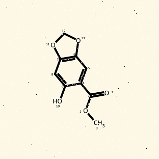 COC(=O)c1cc2c(cc1O)OCO2